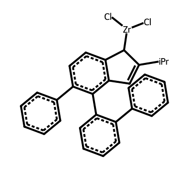 CC(C)C1=Cc2c(ccc(-c3ccccc3)c2-c2ccccc2-c2ccccc2)[CH]1[Zr]([Cl])[Cl]